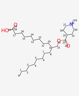 CCCCCCCCCC(CCCCCCCCC(=O)O)COC(=O)C1CCN(C)CC1